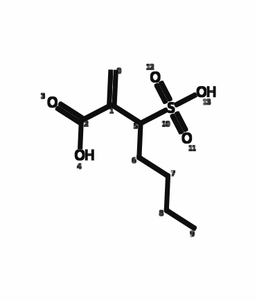 C=C(C(=O)O)C(CCCC)S(=O)(=O)O